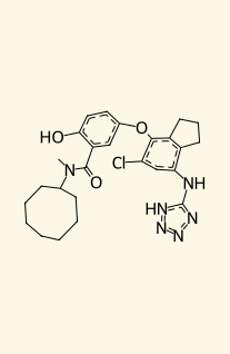 CN(C(=O)c1cc(Oc2c(Cl)cc(Nc3nnn[nH]3)c3c2CCC3)ccc1O)C1CCCCCCC1